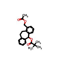 CC(=O)OCc1cccc2c1CCc1ccccc1C2OC(=O)C(C)(C)C